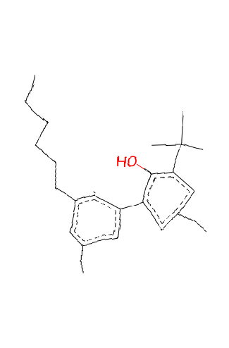 CCCCCCc1[c]c(-c2cc(C)cc(C(C)(C)C)c2O)cc(C)c1